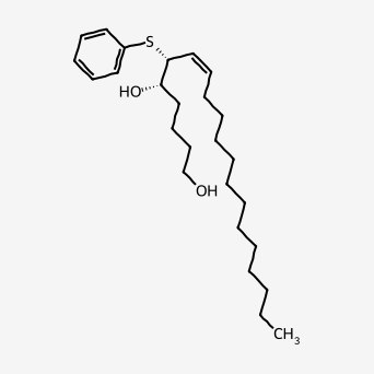 CCCCCCCCCCCC/C=C\[C@@H](Sc1ccccc1)[C@@H](O)CCCCO